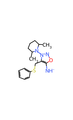 CC1CCCC(C)N1[n+]1noc([NH-])c1CSc1ccccc1